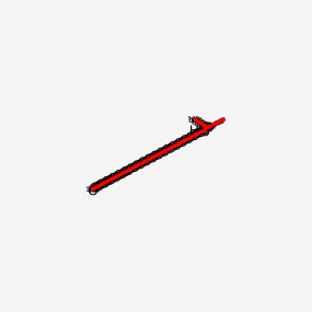 CCCCCCCCCCCCCCOC[C@H](COC(=O)NCCOCCOCCOCCOCCOCCOCCOCCOCCOCCOCCOCCOCCOCCOCCOCCOCCOCCOCCOCCOCCOCCOCCOCCOCCOCCOCCOCCOCCOCCOCCOCCOCCOCCOCCOCCOCCC(C)=O)OCCCCCCCCCCCCCC